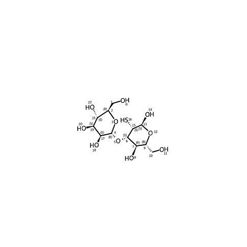 OC[C@H]1O[C@H](O[C@H]2[C@H](O)[C@@H](CO)O[C@H](O)[C@H]2S)[C@@H](O)[C@@H](O)[C@@H]1O